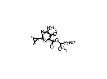 CCCCCCC(C)OC(=O)c1nc(C2CC2)nc(N)c1Cl